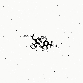 COC(=O)Cc1nc(C)nc(N[C@H](C)c2cccc(C(C)(F)F)c2F)c1C1OCCO1